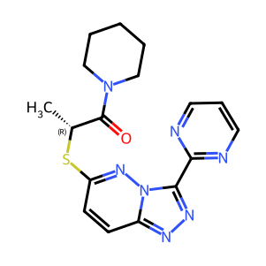 C[C@@H](Sc1ccc2nnc(-c3ncccn3)n2n1)C(=O)N1CCCCC1